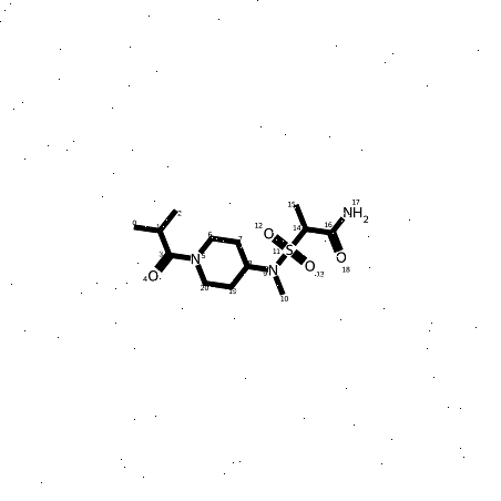 C[C](C)C(=O)N1CCC(N(C)S(=O)(=O)C(C)C(N)=O)CC1